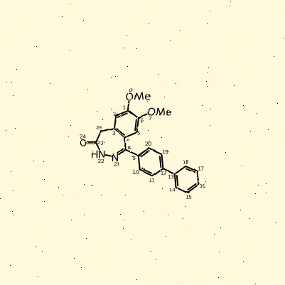 COc1cc2c(cc1OC)C(c1ccc(-c3ccccc3)cc1)=NNC(=O)C2